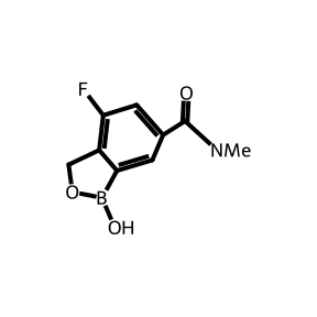 CNC(=O)c1cc(F)c2c(c1)B(O)OC2